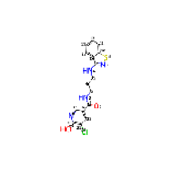 O=C(NCCCNc1nsc2ccccc12)c1cnc(O)c(Cl)c1